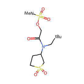 CNS(=O)(=O)OCC(=O)N(CC(C)(C)C)C1CCS(=O)(=O)C1